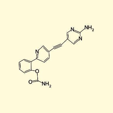 NC(=O)Oc1ccccc1-c1ccc(C#Cc2cnc(N)nc2)cn1